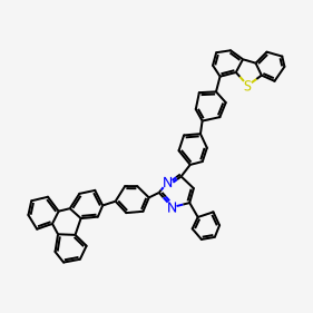 c1ccc(-c2cc(-c3ccc(-c4ccc(-c5cccc6c5sc5ccccc56)cc4)cc3)nc(-c3ccc(-c4ccc5c6ccccc6c6ccccc6c5c4)cc3)n2)cc1